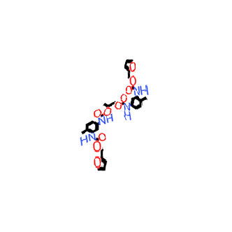 Cc1ccc(NC(=O)OCC(C)OC(=O)Nc2ccc(C)c(NC(=O)OCc3ccco3)c2)cc1NC(=O)OCc1ccco1